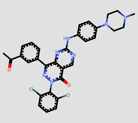 CC(=O)c1cccc(-c2nn(-c3c(Cl)cccc3Cl)c(=O)c3cnc(Nc4ccc(N5CCN(C)CC5)cc4)nc23)c1